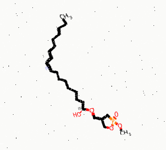 CCCCCCCC/C=C\CCCCCCC[C@@H](O)OCC1COP(=O)(OC)C1